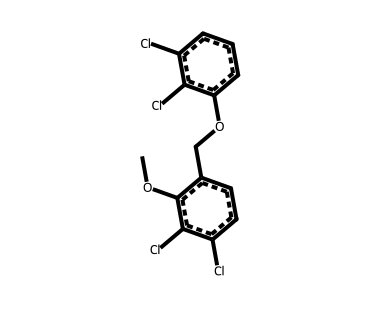 COc1c(COc2cccc(Cl)c2Cl)ccc(Cl)c1Cl